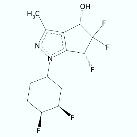 Cc1nn(C2CC[C@H](F)[C@H](F)C2)c2c1[C@H](O)C(F)(F)[C@@H]2F